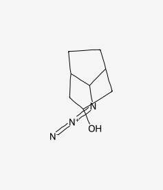 [N-]=[N+]=NC1C2CCC1CC(O)C2